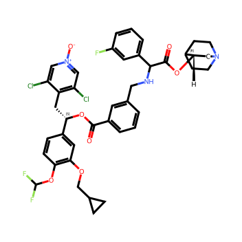 O=C(O[C@@H](Cc1c(Cl)c[n+]([O-])cc1Cl)c1ccc(OC(F)F)c(OCC2CC2)c1)c1cccc(CNC(C(=O)O[C@H]2CN3CCC2CC3)c2cccc(F)c2)c1